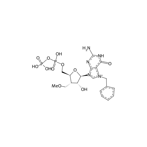 COC[C@H]1[C@@H](O)[C@H](n2c[n+](Cc3ccccc3)c3c(=O)[nH]c(N)nc32)O[C@@H]1COP(=O)(O)OP(=O)(O)O